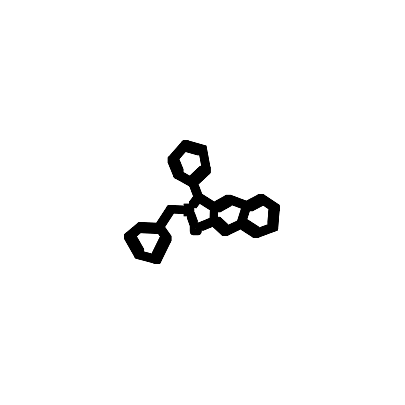 c1ccc(CN2Oc3cc4ccccc4cc3C2c2ccccc2)cc1